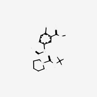 COC(=O)c1cc(NC(=O)[C@H]2CCCCN2C(=O)OC(C)(C)C)ccc1C